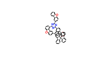 c1ccc(-c2ccc(-c3nc(-c4ccc5oc6ccccc6c5c4)nc(-c4cccc5oc6ccc(-c7ccc(-c8cccc9c8C8(c%10ccccc%10-c%10ccccc%108)c8ccccc8-9)cc7)cc6c45)n3)cc2)cc1